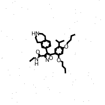 CCCCOc1cc(OCCCC)c(C(C)C)cc1-c1onc(C(=O)NCC)c1-c1ccc2c(c1)CCNCC2